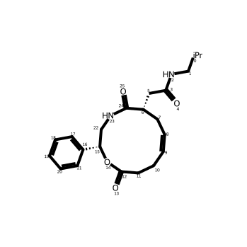 CC(C)CNC(=O)C[C@@H]1C/C=C\CCC(=O)O[C@H](c2ccccc2)CNC1=O